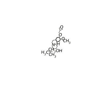 COc1cc2c(cc1OCC1COC1)CCN1C[C@@H](CC(C)(C)C)[C@H](O)C[C@H]21